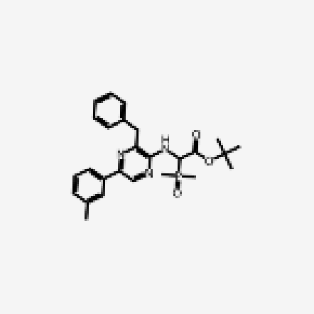 Cc1cccc(-c2cnc(NC(C(=O)OC(C)(C)C)P(C)(C)=O)c(Cc3ccccc3)n2)c1